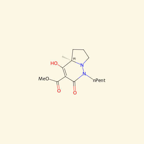 CCCCCN1C(=O)C(C(=O)OC)=C(O)[C@@]2(C)CCCN12